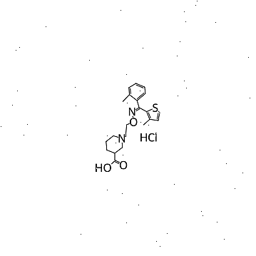 Cc1ccccc1C(=NOCCN1CCCC(C(=O)O)C1)c1sccc1C.Cl